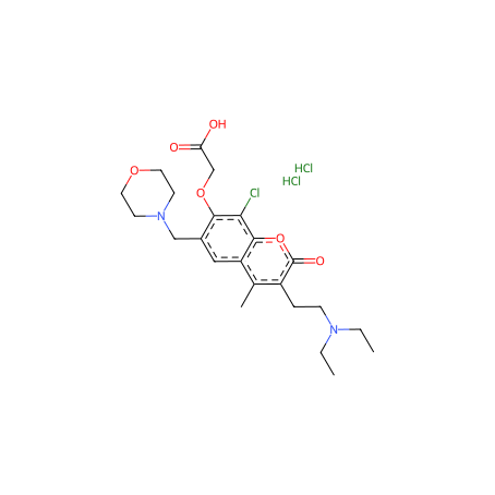 CCN(CC)CCc1c(C)c2cc(CN3CCOCC3)c(OCC(=O)O)c(Cl)c2oc1=O.Cl.Cl